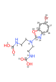 O=C(O)NCCN(CCNC(=O)O)c1nc2ccc(Br)cc2o1